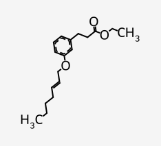 CCCCC=CCOc1cccc(CCC(=O)OCC)c1